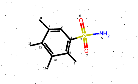 Cc1cc(S(N)(=O)=O)c(C)c(C)c1C